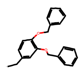 [CH2]Cc1ccc(OCc2ccccc2)c(OCc2ccccc2)c1